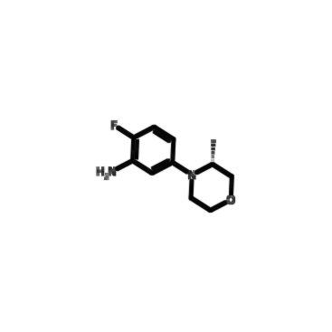 C[C@@H]1COCCN1c1ccc(F)c(N)c1